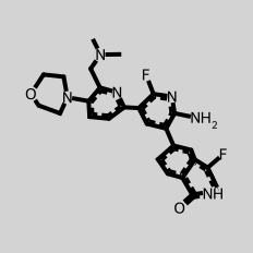 CN(C)Cc1nc(-c2cc(-c3ccc4c(=O)[nH]cc(F)c4c3)c(N)nc2F)ccc1N1CCOCC1